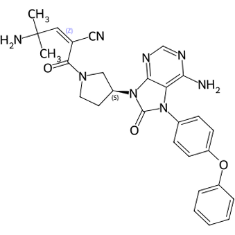 CC(C)(N)/C=C(/C#N)C(=O)N1CC[C@H](n2c(=O)n(-c3ccc(Oc4ccccc4)cc3)c3c(N)ncnc32)C1